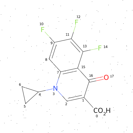 O=C(O)c1cn(C2CC2)c2cc(F)c(F)c(F)c2c1=O